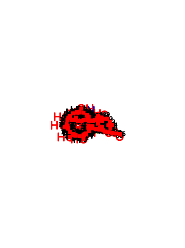 CC[C@@]1(OC(=O)CNC(=O)CNC(=O)CNC(=O)[C@@H](CSCC2O[C@H]3O[C@H]4C(CO)O[C@H](O[C@@H]5C(CO)O[C@H](O[C@@H]6C(CO)O[C@H](O[C@@H]7C(CSC[C@@H](CC(=O)CCOCCOCCC(C)=O)C(=O)NC)O[C@H](O[C@@H]8C(CO)O[C@@H](O[C@@H]9C(CO)O[C@@H](O[C@H]2[C@H](O)C3O)C(O)[C@H]9O)C(O)[C@H]8O)C(O)[C@H]7O)C(O)[C@H]6O)C(O)[C@H]5O)C(O)[C@H]4O)NC)C(=O)OCc2c1cc1n(c2=O)Cc2cc3ccccc3nc2-1